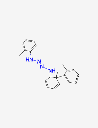 Cc1ccccc1NN=NNC1C=CC=CC1(C)c1ccccc1C